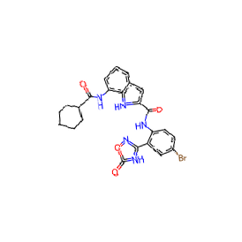 O=C(Nc1ccc(Br)cc1-c1noc(=O)[nH]1)c1cc2cccc(NC(=O)C3CCCCC3)c2[nH]1